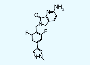 Cn1cc(-c2cc(F)c(CN3Cc4ccc(N)nc4C3=O)c(F)c2)cn1